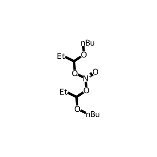 CCCCOC(CC)O[N+](=O)OC(CC)OCCCC